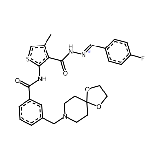 Cc1csc(NC(=O)c2cccc(CN3CCC4(CC3)OCCO4)c2)c1C(=O)N/N=C/c1ccc(F)cc1